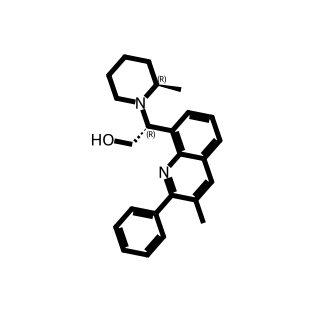 Cc1cc2cccc([C@H](CO)N3CCCC[C@H]3C)c2nc1-c1ccccc1